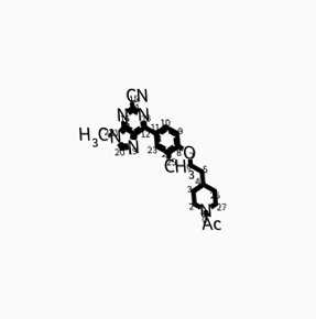 CC(=O)N1CCC(CCOc2ccc(-c3nc(C#N)nc4c3ncn4C)cc2C)CC1